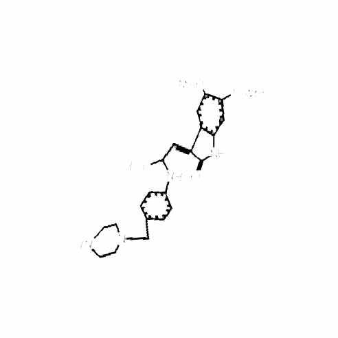 COc1cc2c(cc1OC)C(=CC(C)Nc1ccc(CN3CCNCC3)cc1)C(=O)N2